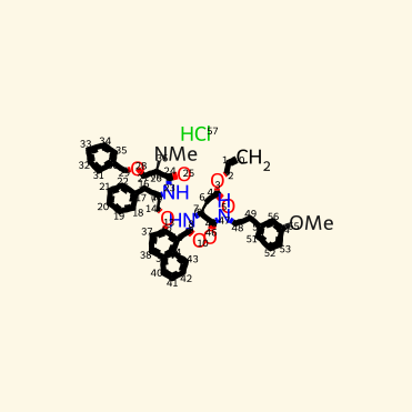 C=CCOC(=O)C[C@H](NC(=O)c1c(OC[C@@H](Cc2ccccc2)NC(=O)[C@@H](COCc2ccccc2)NC)ccc2ccccc12)C(=O)NCCc1cccc(OC)c1.Cl